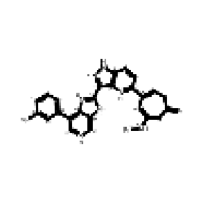 C=C1CC=C(c2ccc3[nH]nc(-c4nc5c(-c6cccc(F)c6)cncc5[nH]4)c3n2)C=C(NC(C)C)C1